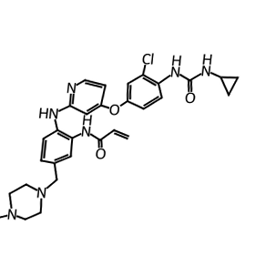 C=CC(=O)Nc1cc(CN2CCN(C)CC2)ccc1Nc1cc(Oc2ccc(NC(=O)NC3CC3)c(Cl)c2)ccn1